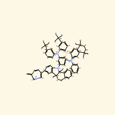 C=C1C=CC(c2ccc3c(c2)C2(C)CCc4ccccc4C2(C)N3c2cc3c4c(c2)N(c2ccccc2)c2cc5c(cc2B4c2ccc(C(C)(C)C)cc2N3c2cccc(C(C)(C)C)c2)C(C)(C)CCC5(C)C)=CN=C1